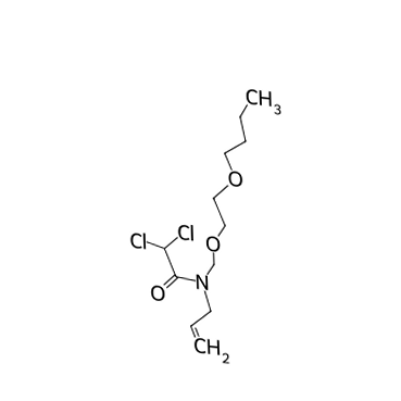 C=CCN(COCCOCCCC)C(=O)C(Cl)Cl